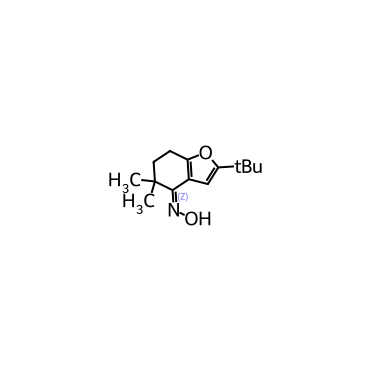 CC1(C)CCc2oc(C(C)(C)C)cc2/C1=N\O